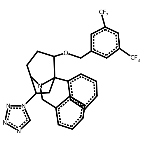 FC(F)(F)c1cc(COC2CCC3C(n4cnnn4)CC2(c2ccccc2)N3Cc2ccccc2)cc(C(F)(F)F)c1